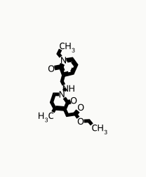 CCOC(=O)CC1=C(C)CCN(NCc2cccn(CC)c2=O)C1=O